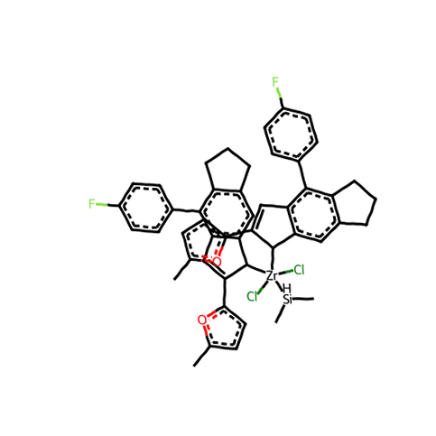 Cc1ccc(C2=Cc3c(cc4c(c3-c3ccc(F)cc3)CCC4)[CH]2[Zr]([Cl])([Cl])([CH]2C(c3ccc(C)o3)=Cc3c2cc2c(c3-c3ccc(F)cc3)CCC2)[SiH](C)C)o1